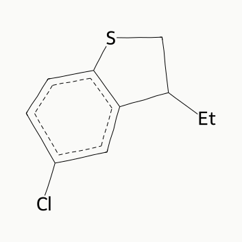 CCC1CSc2ccc(Cl)cc21